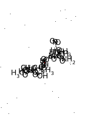 CC[C@H](O)[C@@H](C)[C@H]1O[C@@H]1CC(C)(O)/C=C/C=C(\C)[C@H]1OC(=O)C[C@H](O)CC[C@H](C)[C@@H](OC(=O)N2C[C@H]3C[C@@H]2CN3C(=O)OCc2ccc(NC(=O)[C@H](CCCNC(N)=O)NC(=O)[C@@H](NC(=O)CCCCCN3C(=O)C=CC3=O)C(C)C)cc2)/C=C/[C@@H]1C